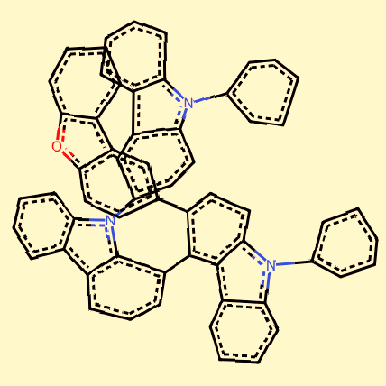 c1ccc(-n2c3ccccc3c3cc(-n4c5ccccc5c5cccc(-c6c(-c7ccc8oc9ccccc9c8c7)ccc7c6c6ccccc6n7-c6ccccc6)c54)ccc32)cc1